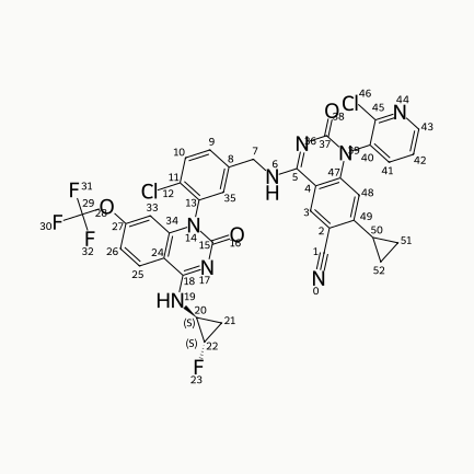 N#Cc1cc2c(NCc3ccc(Cl)c(-n4c(=O)nc(N[C@H]5C[C@@H]5F)c5ccc(OC(F)(F)F)cc54)c3)nc(=O)n(-c3cccnc3Cl)c2cc1C1CC1